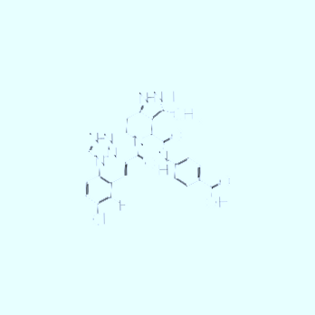 Cc1[nH]nc2c1C(C(=O)Nc1ccc(C(=O)O)cc1)N(C(=O)/C=C/c1c(-n3cnnn3)ccc(Cl)c1F)CC2